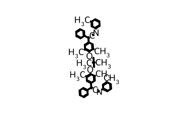 Cc1cccc(N=C=C(c2ccccc2)c2cc(C)c(OCC(C)(C)COc3c(C)cc(C(=C=Nc4cccc(C)c4)c4ccccc4)cc3C)c(C)c2)c1